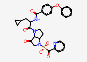 O=C(NC(CC1CC1)C(=O)N1CCC2C1C(=O)CN2S(=O)(=O)C(=O)c1ccccn1)c1ccc(Oc2ccccc2)cc1